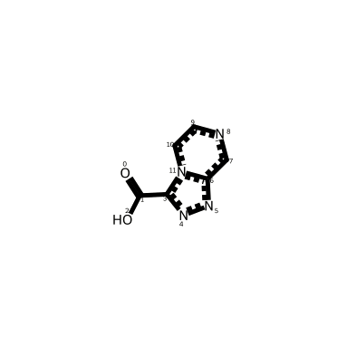 O=C(O)c1nnc2cnccn12